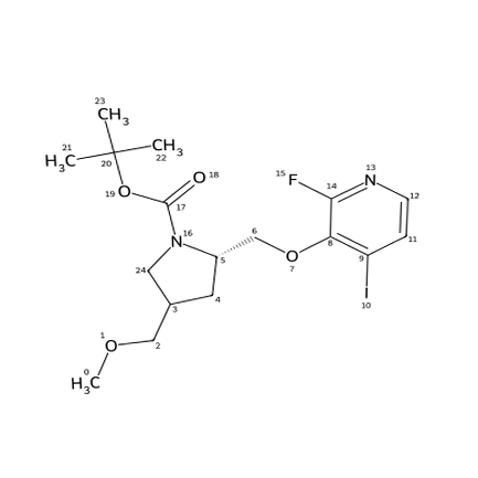 COCC1C[C@@H](COc2c(I)ccnc2F)N(C(=O)OC(C)(C)C)C1